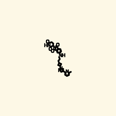 Cc1cccc(-c2cnn(C3CC(CCCNc4ccc5c(c4)C(=O)N(C4CCC(=O)NC4=O)C5=O)C3)c2)n1